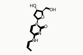 C/C=C\Nc1ccn([C@H]2C[C@H](O)[C@@H](CO)O2)c(=O)n1